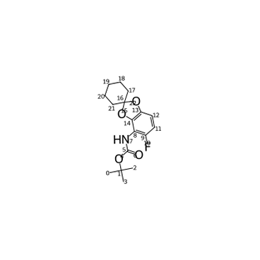 CC(C)(C)OC(=O)Nc1c(F)ccc2c1OC1(CCCCC1)O2